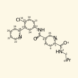 CC(C)CNC(=O)c1ccc(C(=O)Nc2ccc(Cl)c(-c3ccccn3)c2)cn1